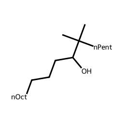 CCCCCCCCCCCC(O)C(C)(C)CCCCC